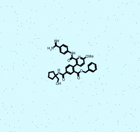 COc1ccc(-c2ccc(C(=O)NC3(CO)CCCC3)cc2C(=O)OCc2ccccc2)c(C(=O)Nc2ccc(C(=N)N)cc2)n1